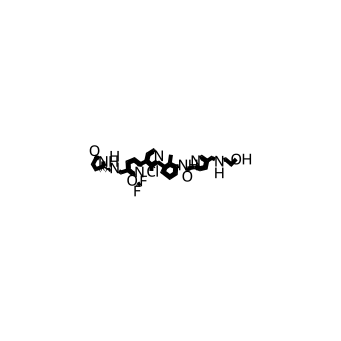 Cc1c(NC(=O)c2ccc(CNCCO)cn2)cccc1-c1nccc(-c2ccc(CNC[C@H]3CCC(=O)N3)c(OC(F)F)n2)c1Cl